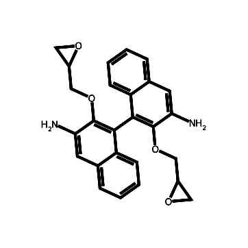 Nc1cc2ccccc2c(-c2c(OCC3CO3)c(N)cc3ccccc23)c1OCC1CO1